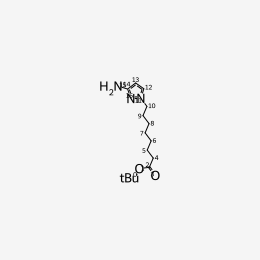 CC(C)(C)OC(=O)CCCCCCCn1ccc(N)n1